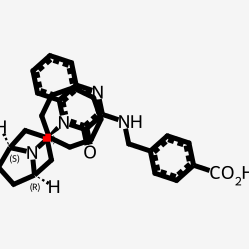 O=C(O)c1ccc(CNc2nc3ccccc3n([C@H]3C[C@H]4CC[C@@H](C3)N4C3CCCCCCC3)c2=O)cc1